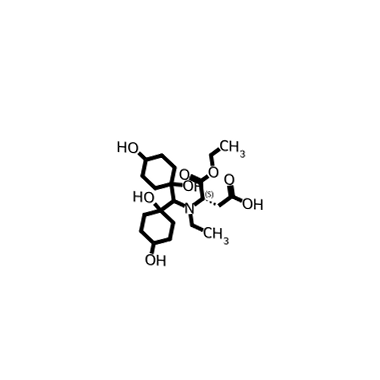 CCOC(=O)[C@H](CC(=O)O)N(CC)C(C1(O)CCC(O)CC1)C1(O)CCC(O)CC1